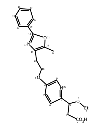 CCOC(CC(=O)O)c1ccc(OCCc2nc(-c3ccccc3)oc2C)cn1